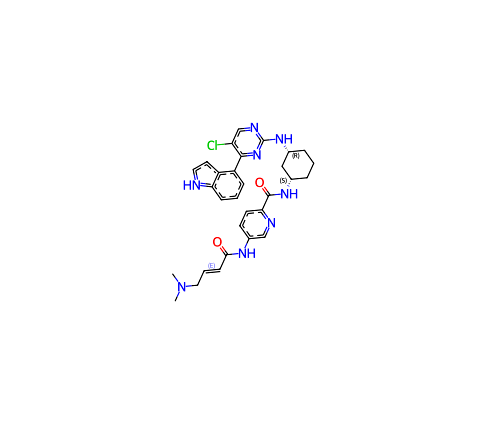 CN(C)C/C=C/C(=O)Nc1ccc(C(=O)N[C@H]2CCC[C@@H](Nc3ncc(Cl)c(-c4cccc5[nH]ccc45)n3)C2)nc1